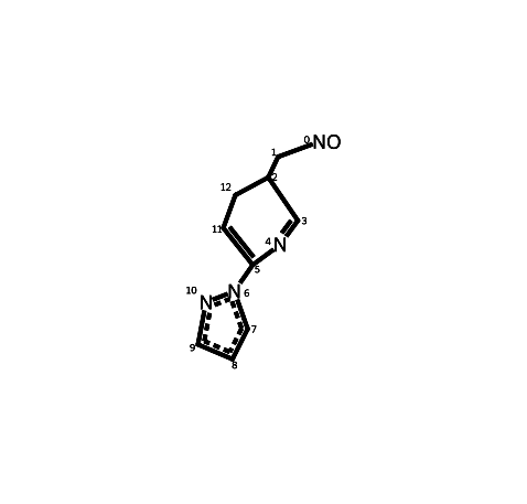 O=NCC1C=NC(n2cccn2)=CC1